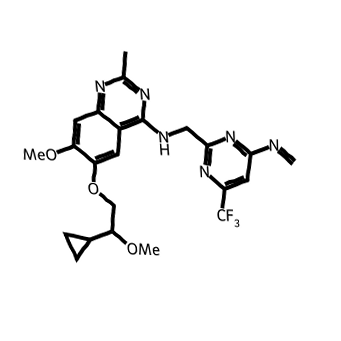 C=Nc1cc(C(F)(F)F)nc(CNc2nc(C)nc3cc(OC)c(OCC(OC)C4CC4)cc23)n1